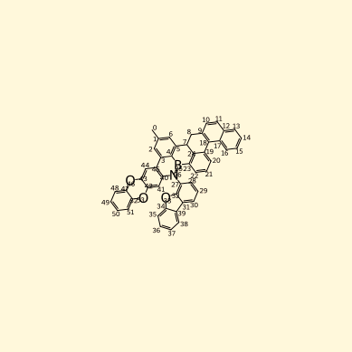 Cc1cc2c3c(c1)C1Cc4ccc5ccccc5c4-c4cccc(c41)B3N(c1cccc3c1oc1ccccc13)c1cc3c(cc1-2)Oc1ccccc1O3